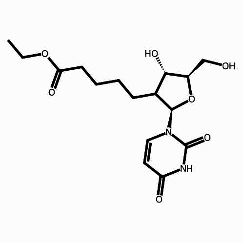 CCOC(=O)CCCCC1[C@H](n2ccc(=O)[nH]c2=O)O[C@H](CO)[C@H]1O